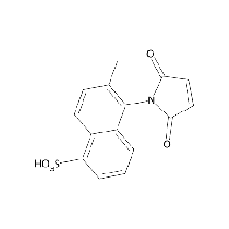 Cc1ccc2c(S(=O)(=O)O)cccc2c1N1C(=O)C=CC1=O